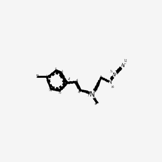 Cc1ccc(CCN(C)CN=[N+]=[N-])cc1